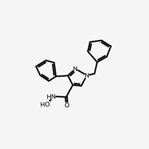 O=C(NO)c1cn(Cc2ccccc2)nc1-c1ccccc1